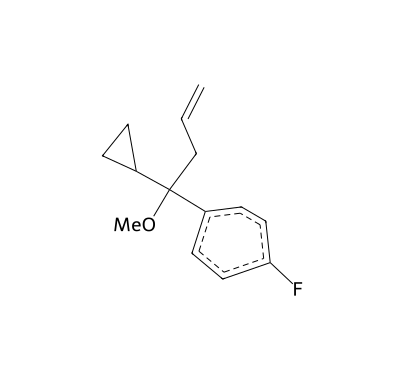 C=CCC(OC)(c1ccc(F)cc1)C1CC1